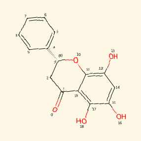 O=C1C[C@H](c2ccccc2)Oc2c(O)cc(O)c(O)c21